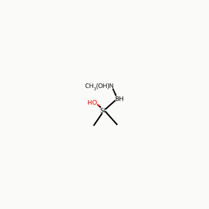 CN(O)B[Si](C)(C)O